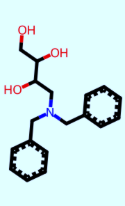 OCC(O)C(O)CN(Cc1ccccc1)Cc1ccccc1